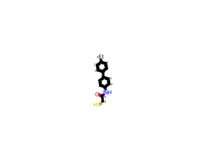 CCc1ccc(-c2ccc(NC(=O)CS)cc2)cc1